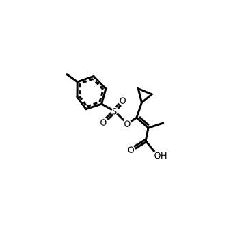 CC(C(=O)O)=C(OS(=O)(=O)c1ccc(C)cc1)C1CC1